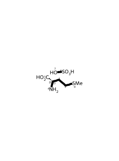 CSCC[C@H](N)C(=O)O.O=S(=O)(O)O